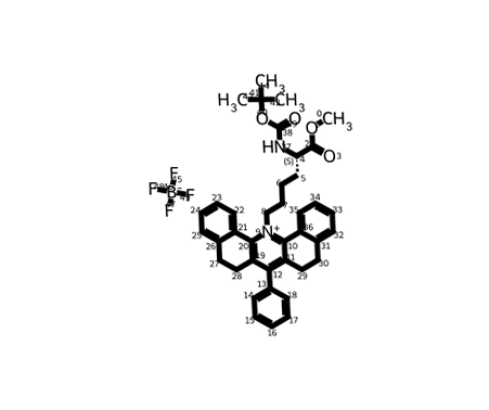 COC(=O)[C@H](CCCC[n+]1c2c(c(-c3ccccc3)c3c1-c1ccccc1CC3)CCc1ccccc1-2)NC(=O)OC(C)(C)C.F[B-](F)(F)F